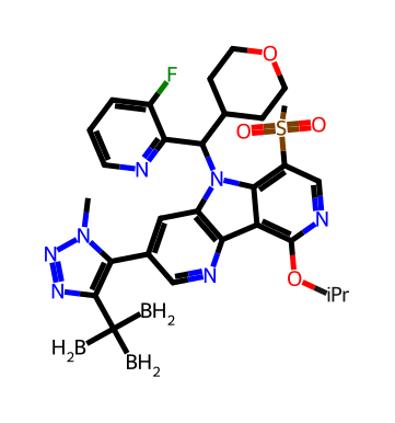 BC(B)(B)c1nnn(C)c1-c1cnc2c3c(OC(C)C)ncc(S(C)(=O)=O)c3n(C(c3ncccc3F)C3CCOCC3)c2c1